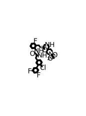 CS(=O)(=O)N1CCC2(CC1)CNC[C@@H](CCc1c(F)cccc1NC(=O)[C@@H](N)Cc1ccc(Cl)c(-c3cc(F)cc(F)c3)c1)O2